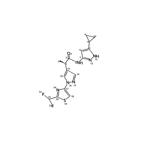 C[C@@H](C(=O)Nc1cc(C2CC2)[nH]n1)c1cnn(-c2csc(C(F)F)n2)c1